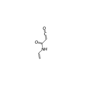 C=CNC(=O)C=C=O